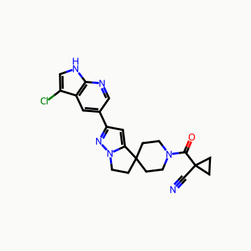 N#CC1(C(=O)N2CCC3(CC2)CCn2nc(-c4cnc5[nH]cc(Cl)c5c4)cc23)CC1